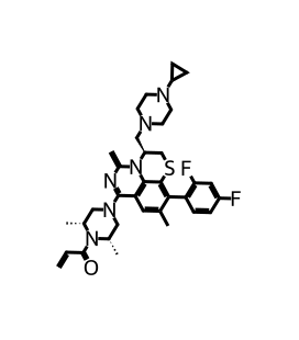 C=CC(=O)N1[C@H](C)CN(C2=NC(=C)N3c4c2cc(C)c(-c2ccc(F)cc2F)c4SC[C@@H]3CN2CCN(C3CC3)CC2)C[C@@H]1C